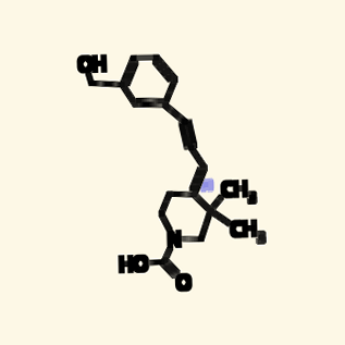 CC1(C)CN(C(=O)O)CC/C1=C\C#Cc1cccc(CO)c1